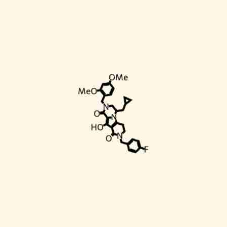 COc1ccc(CN2CC(CC3CC3)n3c4c(c(O)c3C2=O)C(=O)N(Cc2ccc(F)cc2)CC4)c(OC)c1